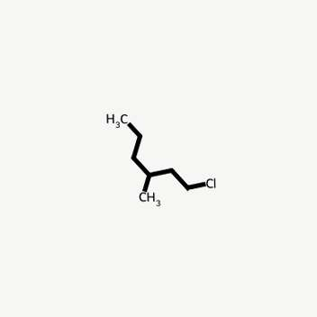 CCCC(C)C[CH]Cl